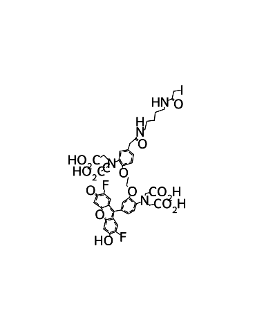 O=C(O)CN(CC(=O)O)c1ccc(-c2c3cc(F)c(=O)cc-3oc3cc(O)c(F)cc23)cc1OCCOc1ccc(CC(=O)NCCCCCNC(=O)CI)cc1N(CC(=O)O)CC(=O)O